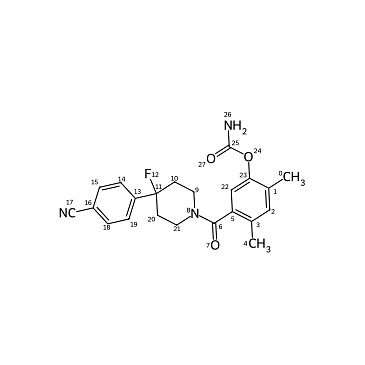 Cc1cc(C)c(C(=O)N2CCC(F)(c3ccc(C#N)cc3)CC2)cc1OC(N)=O